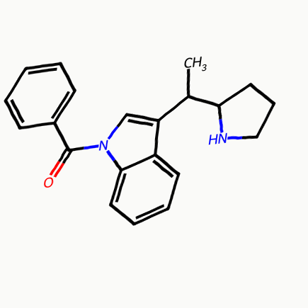 CC(c1cn(C(=O)c2ccccc2)c2ccccc12)C1CCCN1